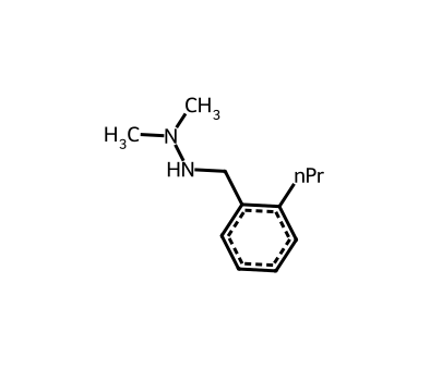 CCCc1ccccc1CNN(C)C